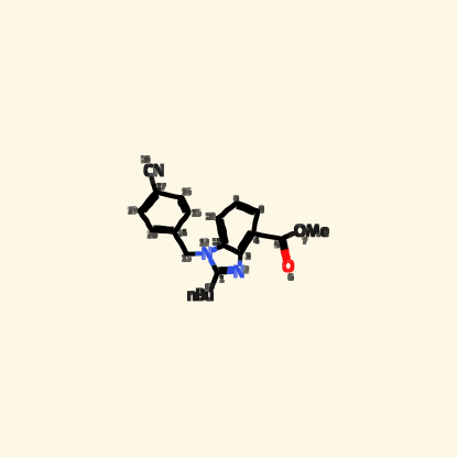 CCCCc1nc2c(C(=O)OC)cccc2n1Cc1ccc(C#N)cc1